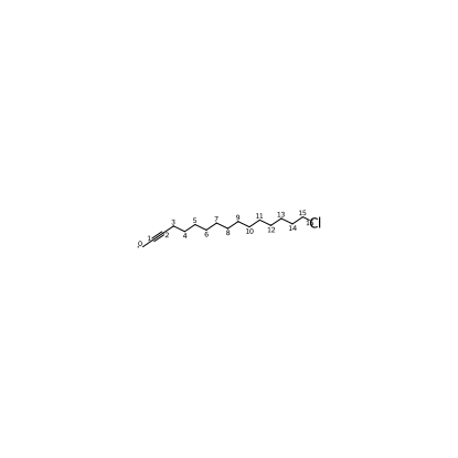 [CH2]C#CCCCCCCCCCCCCCCl